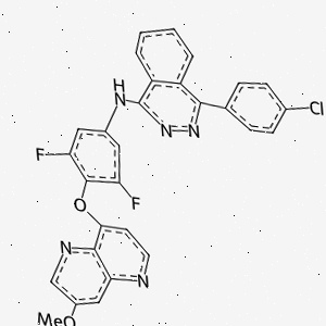 COc1cnc2c(Oc3c(F)cc(Nc4nnc(-c5ccc(Cl)cc5)c5ccccc45)cc3F)ccnc2c1